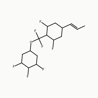 C/C=C/C1CC(F)C(C(F)(F)OC2CC(F)C(F)C(F)C2)C(F)C1